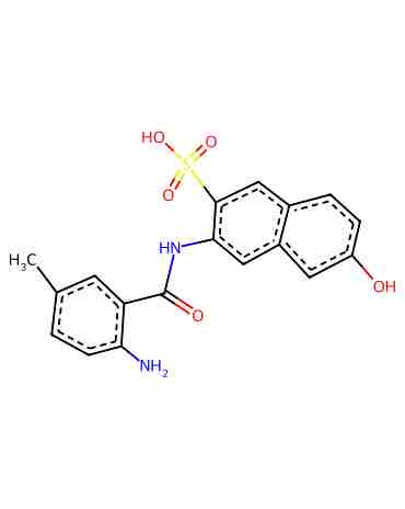 Cc1ccc(N)c(C(=O)Nc2cc3cc(O)ccc3cc2S(=O)(=O)O)c1